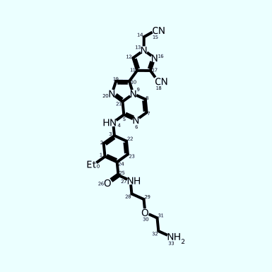 CCc1cc(Nc2nccn3c(-c4cn(CC#N)nc4C#N)cnc23)ccc1C(=O)NCCOCCN